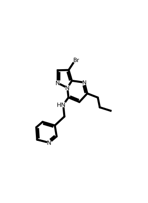 CCCc1cc(NCc2cccnc2)n2ncc(Br)c2n1